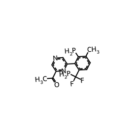 CC(=O)c1cncc(-c2c(C(F)(F)P)ccc(C)c2P)n1